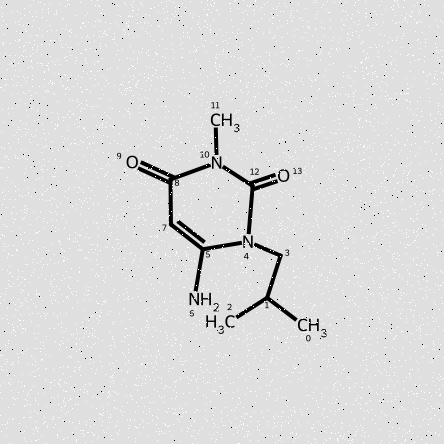 CC(C)Cn1c(N)cc(=O)n(C)c1=O